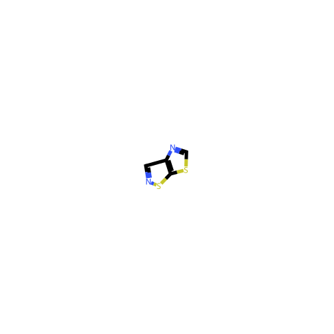 c1nc2cnsc2s1